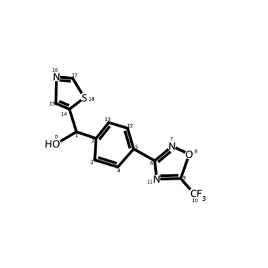 OC(c1ccc(-c2noc(C(F)(F)F)n2)cc1)c1cncs1